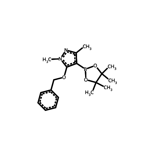 Cc1nn(C)c(OCc2ccccc2)c1B1OC(C)(C)C(C)(C)O1